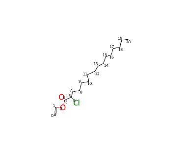 C=COC(=O)C(Cl)CCCCCCCCCCCCCC